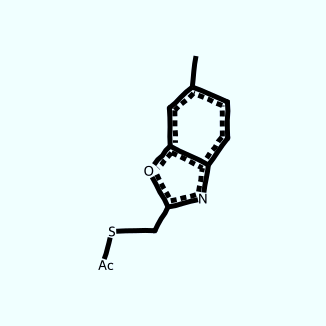 CC(=O)SCc1nc2ccc(C)cc2o1